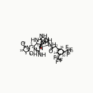 N=C1NC2[C@H](CN3C(=O)CCC3=O)NC(=N)N3C[C@H](NC(=O)Cc4cc(C(F)(F)F)cc(C(F)(F)F)c4)C(O)(O)C23N1